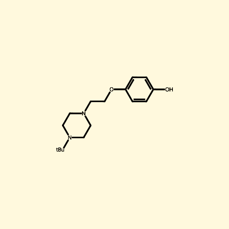 CC(C)(C)N1CCN(CCOc2ccc(O)cc2)CC1